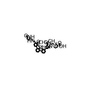 COc1nc(-c2cccc(-c3cccc(-c4cc5c(=O)n(C)c(CN6CCC[C@@H](C(=O)O)C6)nn5c4)c3Cl)c2Cl)ccc1CNC[C@@H]1CCC(=O)N1